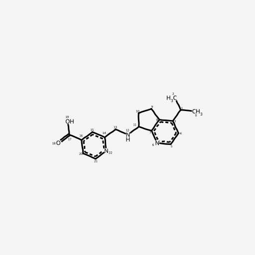 CC(C)c1ccnc2c1CCC2NCc1cc(C(=O)O)ccn1